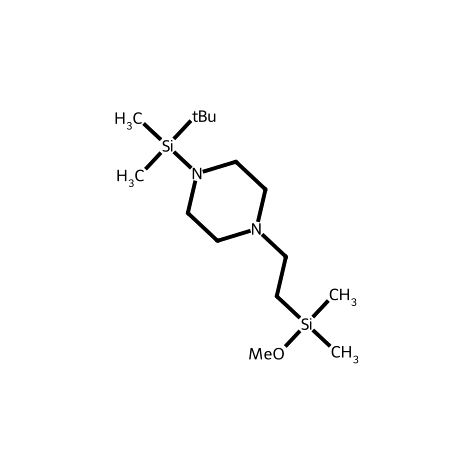 CO[Si](C)(C)CCN1CCN([Si](C)(C)C(C)(C)C)CC1